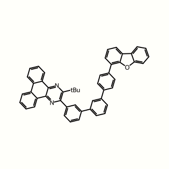 CC(C)(C)c1nc2c3ccccc3c3ccccc3c2nc1-c1cccc(-c2cccc(-c3ccc(-c4cccc5c4oc4ccccc45)cc3)c2)c1